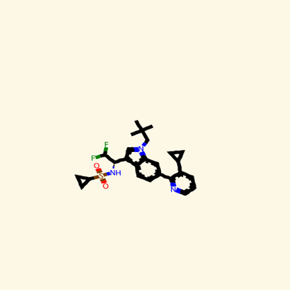 CC(C)(C)Cn1cc([C@H](NS(=O)(=O)C2CC2)C(F)F)c2ccc(-c3ncccc3C3CC3)cc21